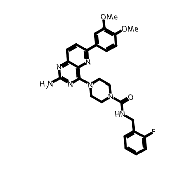 COc1ccc(-c2ccc3nc(N)nc(N4CCN(C(=O)NCc5ccccc5F)CC4)c3n2)cc1OC